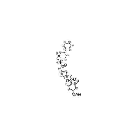 COc1cc(C)c(S(=O)(=O)Cc2noc(CC(=O)NC3CCC(c4ccncc4)CC3(C)C)n2)c(C)c1